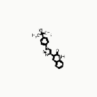 CC(C)(O)c1ccc(-n2cc(-c3cc4ccccc4[nH]c3=O)nn2)cc1